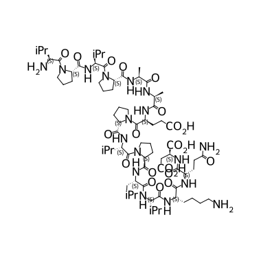 CC(C)C[C@H](NC(=O)[C@@H]1CCCN1C(=O)[C@@H](NC(=O)[C@@H]1CCCN1C(=O)[C@H](CCC(=O)O)NC(=O)[C@H](C)NC(=O)[C@H](C)NC(=O)[C@@H]1CCCN1C(=O)[C@@H](NC(=O)[C@@H]1CCCN1C(=O)[C@@H](N)C(C)C)C(C)C)C(C)C)C(=O)N[C@H](C(=O)N[C@@H](CCCCN)C(=O)N[C@@H](CCC(N)=O)C(=O)N[C@@H](CC(=O)O)C(=O)O)C(C)C